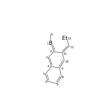 C/B=c1/cc2ccccc2c/c1=C/CC